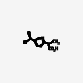 CN(C(=O)O)c1ccc(C(=O)Cl)cn1